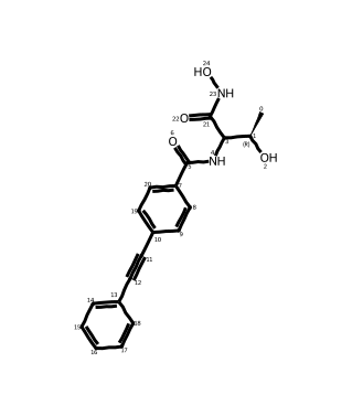 C[C@@H](O)C(NC(=O)c1ccc(C#Cc2ccccc2)cc1)C(=O)NO